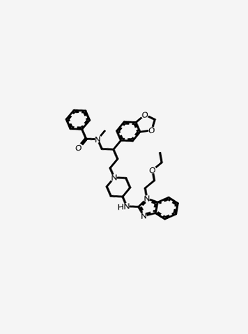 CCOCCn1c(NC2CCN(CCC(CN(C)C(=O)c3ccccc3)c3ccc4c(c3)OCO4)CC2)nc2ccccc21